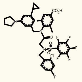 Cc1cc(C(=O)O)cc(C)c1N(Cc1cc(C2CC2)cc(N2CCCC2)c1)C(=O)CN(Cc1ccc(F)cc1Cl)S(=O)(=O)c1c(F)c(F)c(F)c(F)c1F